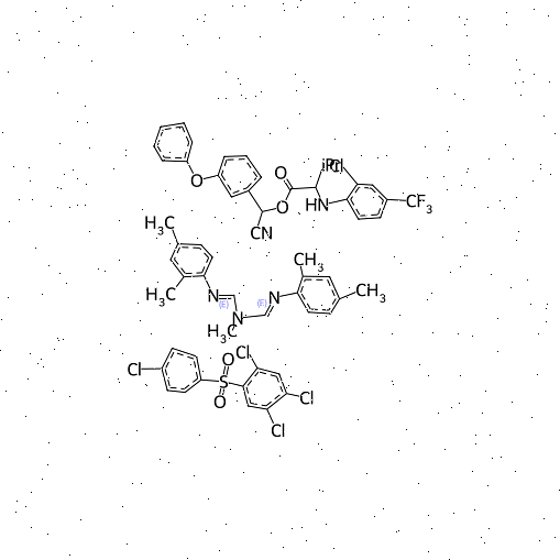 CC(C)C(Nc1ccc(C(F)(F)F)cc1Cl)C(=O)OC(C#N)c1cccc(Oc2ccccc2)c1.Cc1ccc(/N=C/N(C)/C=N/c2ccc(C)cc2C)c(C)c1.O=S(=O)(c1ccc(Cl)cc1)c1cc(Cl)c(Cl)cc1Cl